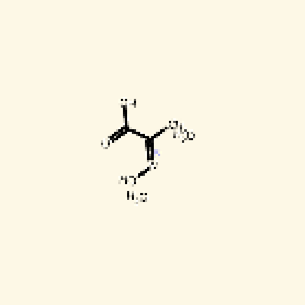 C/C(=N/O)C(=O)O.O.O